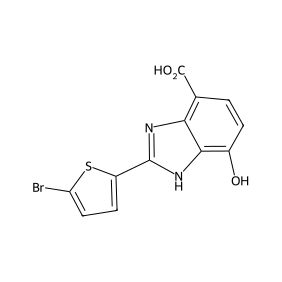 O=C(O)c1ccc(O)c2[nH]c(-c3ccc(Br)s3)nc12